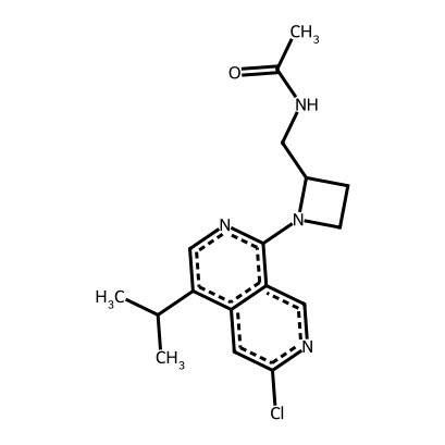 CC(=O)NCC1CCN1c1ncc(C(C)C)c2cc(Cl)ncc12